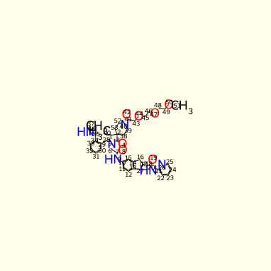 CCC1(C(=O)N(CC(=O)Nc2ccc3c(c2)C[C@H](C(=O)Nc2ccccn2)C3)Cc2ccccc2CNC)CCN(C(=O)COCCOCCOC)CC1